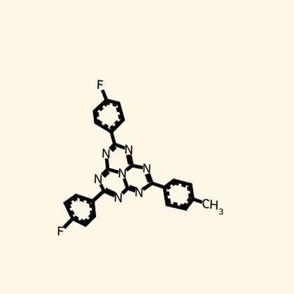 Cc1ccc(C2=NC3=NC(c4ccc(F)cc4)=NC4=NC(c5ccc(F)cc5)=NC(=N2)N34)cc1